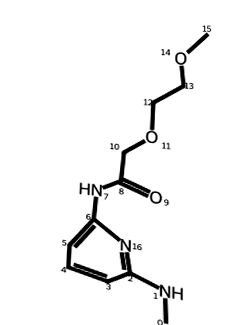 CNc1cccc(NC(=O)COCCOC)n1